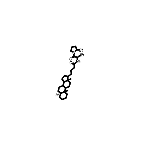 CCC1CCCN1C(=O)C(NC(=O)CCCC1CCC2C3CC[C@@H]4CCCCC4(C)C3CCC12C)C(C)C